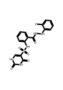 O=C(NNc1ccccc1Cl)c1ccccc1NS(=O)(=O)c1c[nH]c(=O)[nH]c1=O